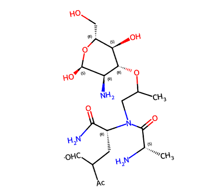 CC(=O)C([C]=O)C[C@H](C(N)=O)N(CC(C)O[C@@H]1[C@@H](N)[C@@H](O)O[C@H](CO)[C@H]1O)C(=O)[C@H](C)N